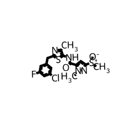 Cc1nc(Cc2cc(F)cc(Cl)c2)sc1NC(=O)c1cc([S+](C)[O-])nn1C